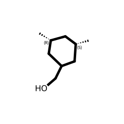 C[C@@H]1CC(CO)C[C@H](C)C1